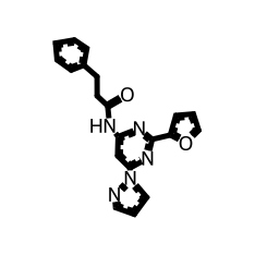 O=C(CCc1ccccc1)Nc1cc(-n2cccn2)nc(-c2ccco2)n1